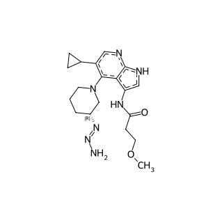 COCCC(=O)Nc1c[nH]c2ncc(C3CC3)c(N3CCC[C@@H](N=NN)C3)c12